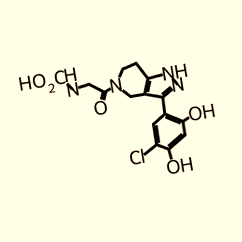 O=C(O)NCC(=O)N1CCc2[nH]nc(-c3cc(Cl)c(O)cc3O)c2C1